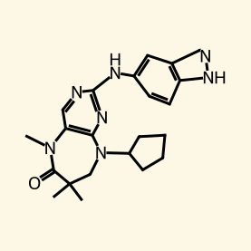 CN1C(=O)C(C)(C)CN(C2CCCC2)c2nc(Nc3ccc4[nH]ncc4c3)ncc21